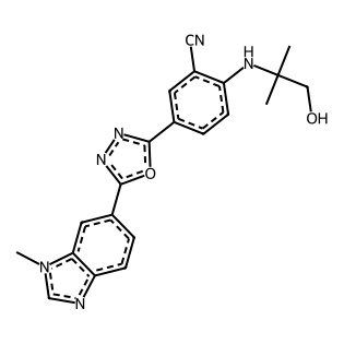 Cn1cnc2ccc(-c3nnc(-c4ccc(NC(C)(C)CO)c(C#N)c4)o3)cc21